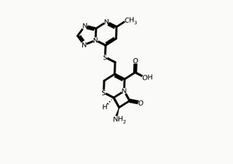 Cc1cc(SCC2=C(C(=O)O)N3C(=O)[C@@H](N)[C@H]3SC2)n2ncnc2n1